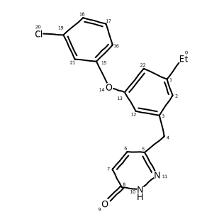 CCc1cc(Cc2ccc(=O)[nH]n2)cc(Oc2cccc(Cl)c2)c1